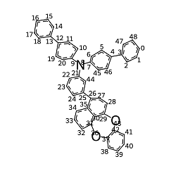 c1ccc(-c2ccc(N(c3ccc(-c4ccccc4)cc3)c3cccc(-c4ccc5c6c(cccc46)Oc4ccccc4O5)c3)cc2)cc1